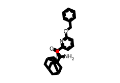 NC(=O)C12CC3CC(C1)C(NC(=O)c1cccc(OCc4ccccc4)n1)C(C3)C2